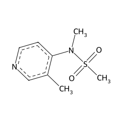 Cc1cnccc1N(C)S(C)(=O)=O